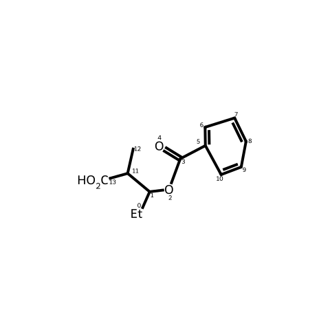 CCC(OC(=O)c1ccccc1)C(C)C(=O)O